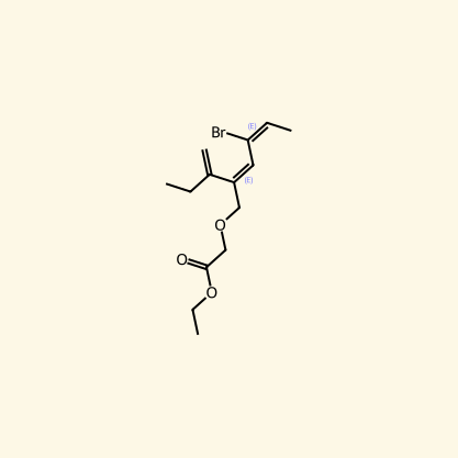 C=C(CC)/C(=C\C(Br)=C/C)COCC(=O)OCC